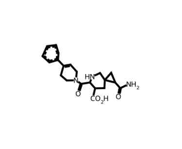 NC(=O)C1CC12CNC(C(=O)N1CC=C(c3ccccc3)CC1)C(C(=O)O)C2